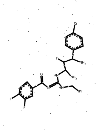 CC(C)CN/C(=N/C(=O)c1ccc(F)c(F)c1)NC(N)C(F)C(N)c1ccc(Cl)cc1